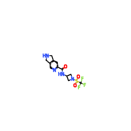 O=C(NC1CN(S(=O)(=O)C(F)(F)F)C1)c1cc2c(cn1)CNC2